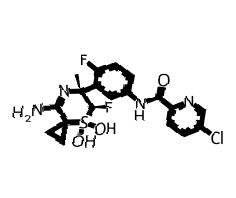 C[C@]1(c2cc(NC(=O)c3ccc(Cl)cn3)ccc2F)N=C(N)C2(CC2)S(O)(O)[C@@H]1F